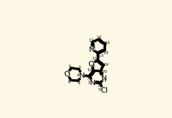 Clc1nc(N2CCOCC2)c2oc(-c3ccccn3)cc2n1